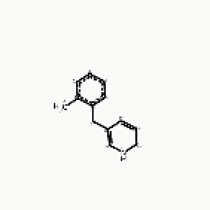 Cc1ccccc1CC1=CNCC=C1